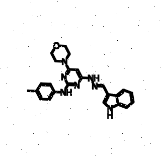 Cc1ccc(Nc2nc(N/N=C/c3c[nH]c4ccccc34)cc(N3CCOCC3)n2)cc1